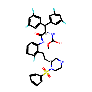 COC(O)N[C@H](C(=O)Nc1cccc(F)c1CC[C@H]1CNCCN1S(=O)(=O)c1ccccc1)C(c1cc(F)cc(F)c1)c1cc(F)cc(F)c1